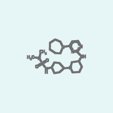 CN(C)S(=O)(=O)NC1CCC(N2CCCC(Nc3nccc(N4CCCCCC4)n3)C2)CC1